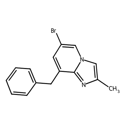 Cc1cn2cc(Br)cc(Cc3ccccc3)c2n1